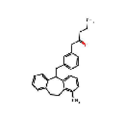 CCCC(=O)Cc1cccc(CC2c3ccccc3CCc3c(C)cccc32)c1